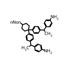 CCCCCCCCCC1CCC(c2ccc(C(C)c3ccc(N)cc3)cc2)(c2ccc(C(C)c3ccc(N)cc3)cc2)CC1